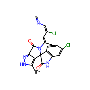 C=N/C=C(Cl)\C=C(/C)N1C(=O)c2n[nH]c(C(C)C)c2C12C(=O)Nc1cc(Cl)ccc12